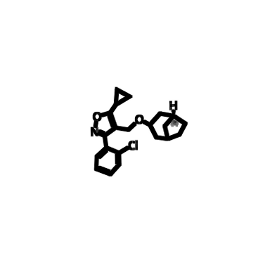 Clc1ccccc1-c1noc(C2CC2)c1COC1CC2CC[C@H](C2)C1